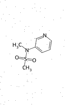 CN(c1[c]nccc1)S(C)(=O)=O